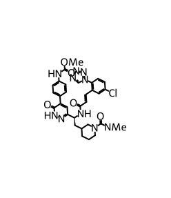 CNC(=O)N1CCCC(C[C@H](NC(=O)/C=C/c2cc(Cl)ccc2-n2cnnn2)c2cc(-c3ccc(NC(=O)OC)cc3)c(=O)[nH]n2)C1